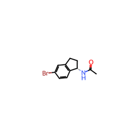 CC(=O)N[C@H]1CCc2cc(Br)ccc21